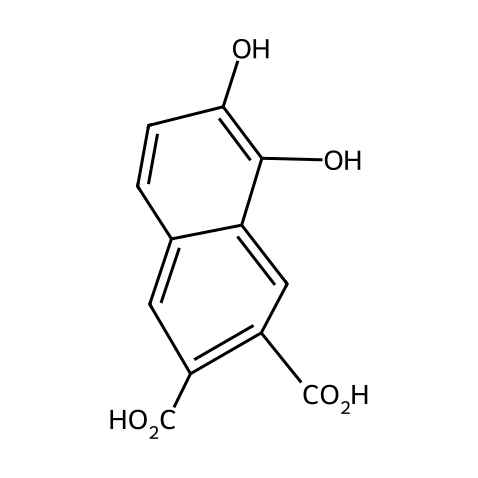 O=C(O)c1cc2ccc(O)c(O)c2cc1C(=O)O